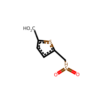 O=C(O)c1ccc(C[SH](=O)=O)s1